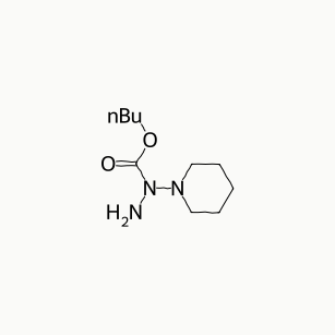 CCCCOC(=O)N(N)N1CCCCC1